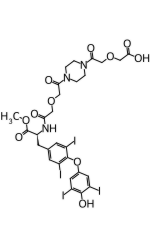 COC(=O)[C@H](Cc1cc(I)c(Oc2cc(I)c(O)c(I)c2)c(I)c1)NC(=O)COCC(=O)N1CCN(C(=O)COCC(=O)O)CC1